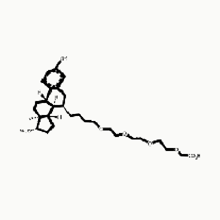 CO[C@H]1CC[C@H]2[C@@H]3[C@H](CCCCOCCOCCOCCOCC(=O)O)Cc4cc(O)ccc4[C@H]3CC[C@]12C